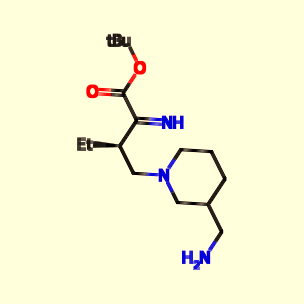 CC[C@H](CN1CCCC(CN)C1)C(=N)C(=O)OC(C)(C)C